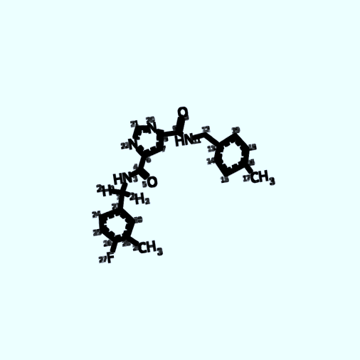 [2H]C([2H])(NC(=O)c1cc(C(=O)NCc2ccc(C)cc2)ncn1)c1ccc(F)c(C)c1